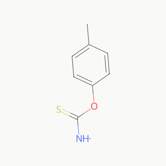 Cc1ccc(OC([NH])=S)cc1